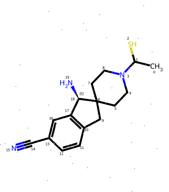 CC(S)N1CCC2(CC1)Cc1ccc(C#N)cc1[C@H]2N